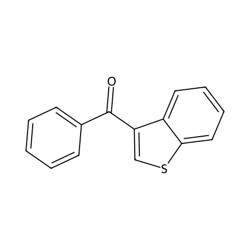 O=C(c1ccccc1)c1csc2ccccc12